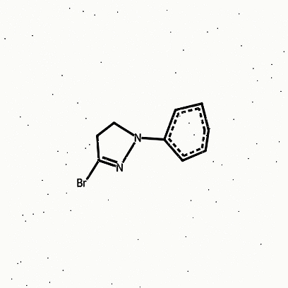 BrC1=NN(c2ccccc2)CC1